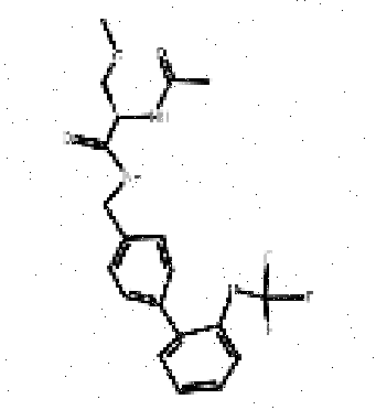 COC[C@@H](NC(C)=O)C(=O)NCc1ccc(-c2ccccc2OC(F)(F)F)cc1